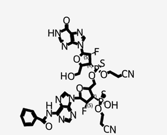 N#CCCOP(O)(=S)[C@@H]1C(COP(=S)(OCCC#N)[C@@H]2C(CO)OC(n3cnc4c(=O)[nH]cnc43)[C@@H]2F)OC(n2cnc3c(NC(=O)c4ccccc4)ncnc32)[C@@H]1F